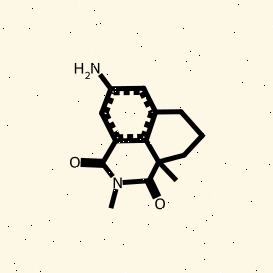 CN1C(=O)c2cc(N)cc3c2C(C)(CCC3)C1=O